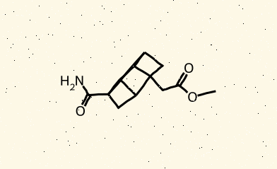 COC(=O)CC12CC3C1C1C2CC31C(N)=O